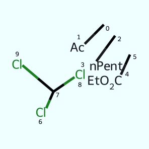 CC(C)=O.CCCCCC.CCOC(C)=O.ClC(Cl)Cl